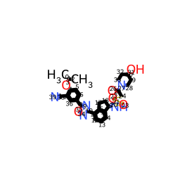 CC(C)Oc1ccc(-c2nc(-c3cccc4c3CCC4NS(=O)(=O)CC(=O)N3CCC(O)CC3)no2)cc1C#N